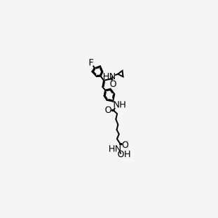 O=C(CCCCCCC(=O)Nc1ccc(/C=C(\C(=O)NC2CC2)c2ccc(F)cc2)cc1)NO